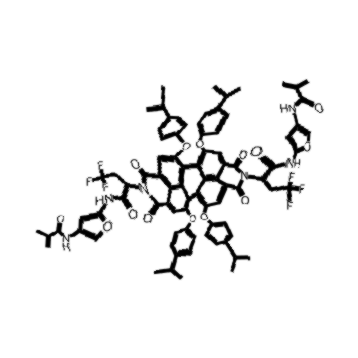 C=C(C)C(=O)Nc1coc(NC(=O)C(CC(F)(F)F)N2C(=O)c3cc(Oc4ccc(C(C)C)cc4)c4c5c(Oc6ccc(C(C)C)cc6)cc6c7c(cc(Oc8ccc(C(C)C)cc8)c(c8c(Oc9ccc(C(C)C)cc9)cc(c3c48)C2=O)c75)C(=O)N(C(CC(F)(F)F)C(=O)Nc2cc(NC(=O)C(=C)C)co2)C6=O)c1